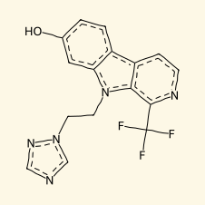 Oc1ccc2c3ccnc(C(F)(F)F)c3n(CCn3cncn3)c2c1